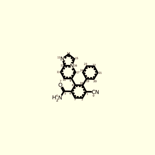 N#Cc1ccc(C(N)=O)c(-c2ccc3nccn3c2)c1-c1ccccc1